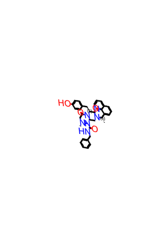 C[C@@H](c1cccc2cccnc12)N1CC2N(C(=O)CN(C)N2C(=O)NCc2ccccc2)[C@@H](Cc2ccc(O)cc2)C1=O